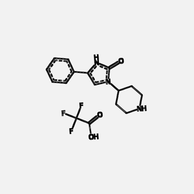 O=C(O)C(F)(F)F.O=c1[nH]c(-c2ccccc2)cn1C1CCNCC1